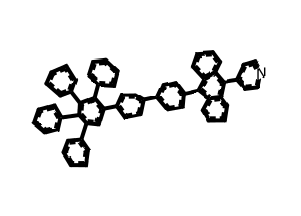 c1ccc(-c2cc(-c3ccc(-c4ccc(-c5c6ccccc6c(-c6ccncc6)c6ccccc56)cc4)cc3)c(-c3ccccc3)c(-c3ccccc3)c2-c2ccccc2)cc1